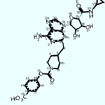 Nc1nc(CC2CCN(C(=O)Oc3ccc(C(=O)O)cc3)CC2)nc2c1ncn2[C@@H]1O[C@H](C(=O)NC2CC2)C(O)C1O